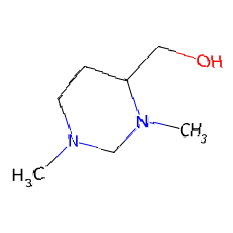 CN1CCC(CO)N(C)C1